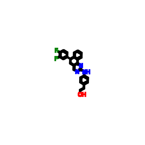 OCCc1ccc(Nc2ncc3c(n2)-c2ccccc2[C@H](c2ccc(F)c(F)c2)C3)cc1